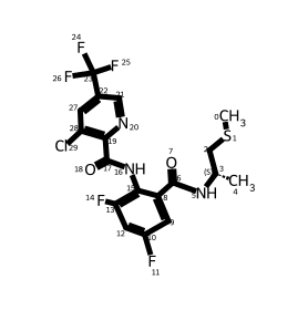 CSC[C@H](C)NC(=O)c1cc(F)cc(F)c1NC(=O)c1ncc(C(F)(F)F)cc1Cl